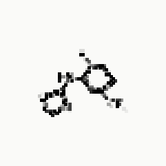 Fc1ccc(C(F)(F)F)cc1Nc1ncco1